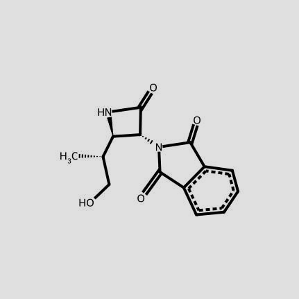 C[C@@H](CO)[C@H]1NC(=O)[C@@H]1N1C(=O)c2ccccc2C1=O